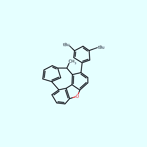 CC1c2cccc(c2)-c2cccc3oc4ccc(-c5cc(C(C)(C)C)cc(C(C)(C)C)c5)c1c4c23